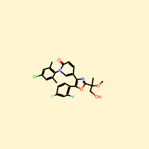 COC(C)(CO)c1nc(-c2ccc(=O)n(-c3c(C)cc(Cl)cc3C)c2)c(-c2ccc(F)cc2F)o1